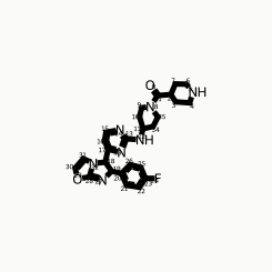 O=C(C1CCNCC1)N1CCC(Nc2nccc(C3C(c4ccc(F)cc4)N=C4OC=CN43)n2)CC1